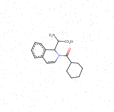 CCOC(=O)C(C1c2ccccc2C=CN1C(=O)C1CCCCC1)[N+](=O)[O-]